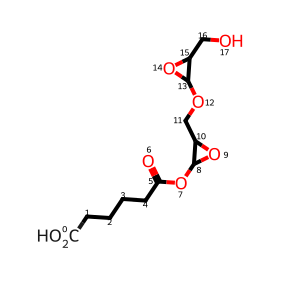 O=C(O)CCCCC(=O)OC1OC1COC1OC1CO